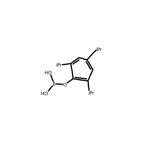 CC(C)c1cc(C(C)C)c(OB(O)O)c(C(C)C)c1